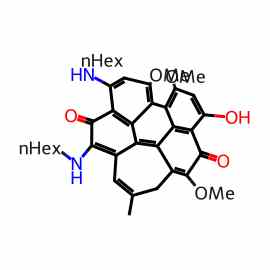 CCCCCCNc1c2c3c4c(c(OC)c(=O)c5c(O)cc(OC)c(c6c(OC)cc(NCCCCCC)c(c1=O)c63)c54)CC(C)=C2